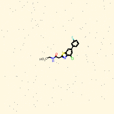 O=C(O)CNC(=O)Cc1nc2c(Cl)cc(-c3cccc(F)c3)cc2s1